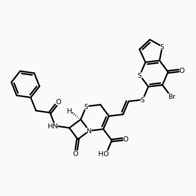 O=C(Cc1ccccc1)NC1C(=O)N2C(C(=O)O)=C(/C=C/Sc3sc4ccsc4c(=O)c3Br)CS[C@H]12